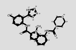 Cn1c(C(=O)Nc2ccc(Cl)cc2-c2nnn[nH]2)cc2cccc(NC(=O)N3CCOCC3)c21